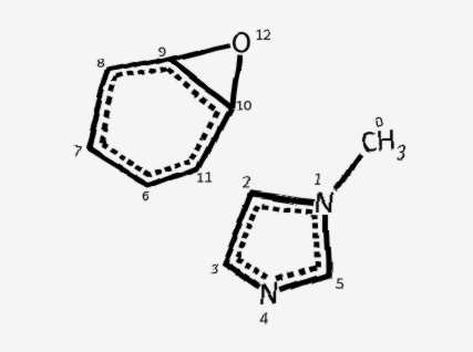 Cn1ccnc1.c1ccc2c(c1)O2